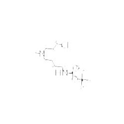 CN(CCCCl)CCCCNC(=O)OC(C)(C)C